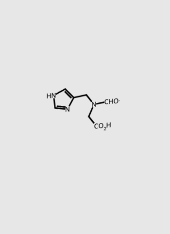 O=[C]N(CC(=O)O)Cc1c[nH]cn1